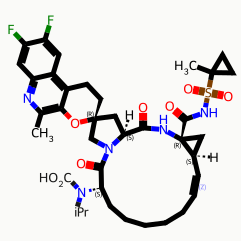 Cc1nc2cc(F)c(F)cc2c2c1O[C@]1(CC2)C[C@H]2C(=O)N[C@]3(C(=O)NS(=O)(=O)C4(C)CC4)C[C@H]3/C=C\CCCCC[C@H](N(C(=O)O)C(C)C)C(=O)N2C1